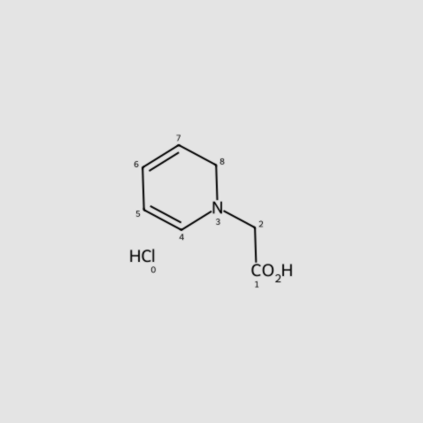 Cl.O=C(O)CN1C=CC=CC1